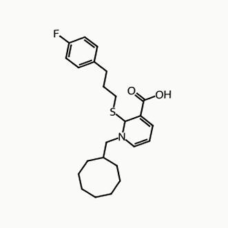 O=C(O)C1=CC=CN(CC2CCCCCCC2)C1SCCCc1ccc(F)cc1